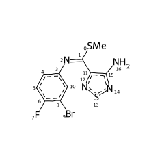 CS/C(=N/c1ccc(F)c(Br)c1)c1nsnc1N